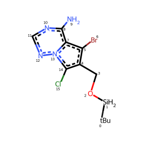 CC(C)(C)[SiH2]OCc1c(Br)c2c(N)ncnn2c1Cl